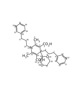 CC1=C(C(=O)O)C(CCCc2cccnc2)(C2=COCCO2)C(C(=O)O)=C(C)N1CCCc1cccnc1